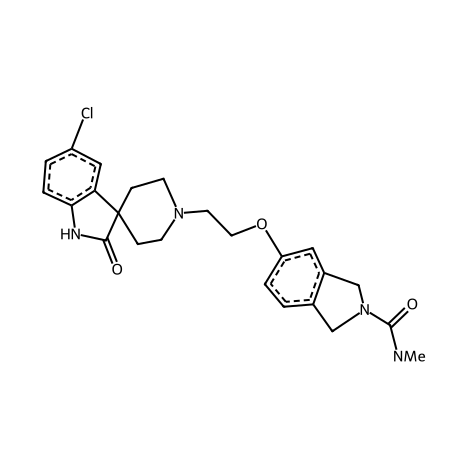 CNC(=O)N1Cc2ccc(OCCN3CCC4(CC3)C(=O)Nc3ccc(Cl)cc34)cc2C1